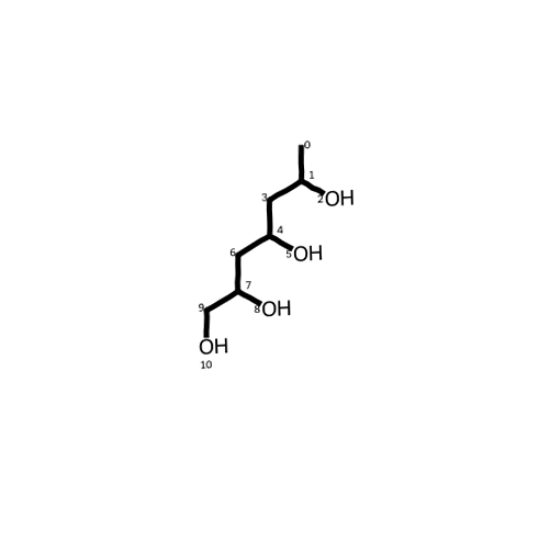 CC(O)CC(O)CC(O)CO